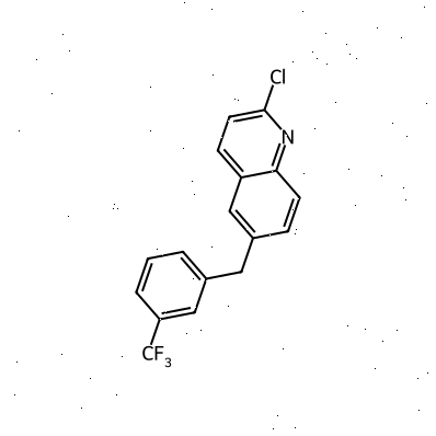 FC(F)(F)c1cccc(Cc2ccc3nc(Cl)ccc3c2)c1